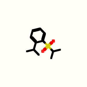 CC(C)c1ccccc1S(=O)(=O)C(C)C